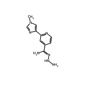 Cn1cnc(-c2cc(/C(N)=N/NN)ccn2)c1